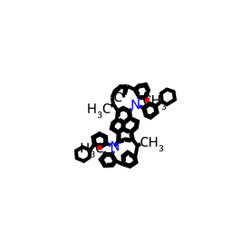 Cc1cccc2c1N(c1cccc(C3CCCCC3)c1)c1cc(c3ccc4c5cc(c6ccc1c3c64)C(C)c1ccc(cc1)-c1cccc(C)c1N5c1cccc(C3CCCCC3)c1)C(C)c1ccc-2cc1